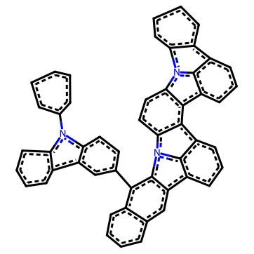 c1ccc(-n2c3ccccc3c3cc(-c4c5ccccc5cc5c6cccc7c8c9c%10cccc%11c%12ccccc%12n(c9ccc8n(c45)c67)c%11%10)ccc32)cc1